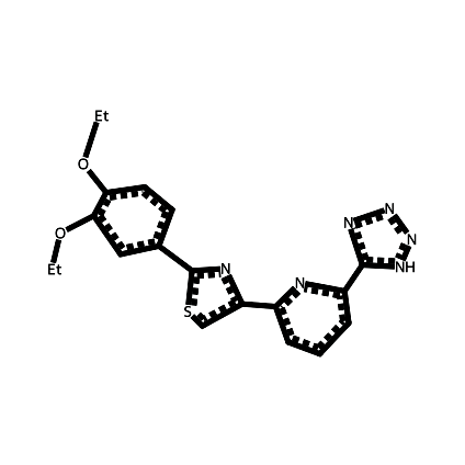 CCOc1ccc(-c2nc(-c3cccc(-c4nnn[nH]4)n3)cs2)cc1OCC